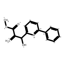 C=C(C(=O)OC)C(O)c1cccc(-c2ccccc2)n1